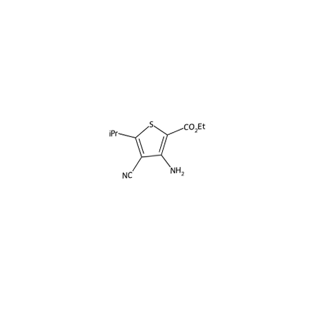 CCOC(=O)c1sc(C(C)C)c(C#N)c1N